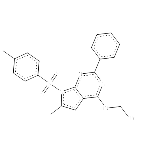 Cc1ccc(S(=O)(=O)n2c(C)cc3c(NCC(C)C)nc(-c4ccccc4)nc32)cc1